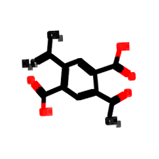 C=C(C)c1cc(C(=O)O)c(C(C)=O)cc1C(=O)O